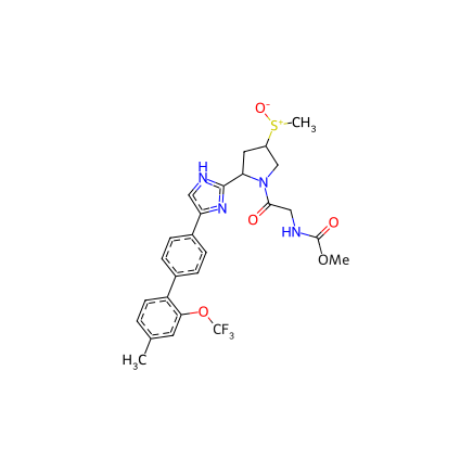 COC(=O)NCC(=O)N1CC([S+](C)[O-])CC1c1nc(-c2ccc(-c3ccc(C)cc3OC(F)(F)F)cc2)c[nH]1